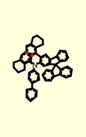 CC(C)c1ccc2c(c1-c1cc3c(cc1N(c1ccc(-c4ccccc4)cc1)c1cccc4c1CCCC4)C1(c4ccccc4-c4ccccc41)c1ccccc1-3)CCCC2